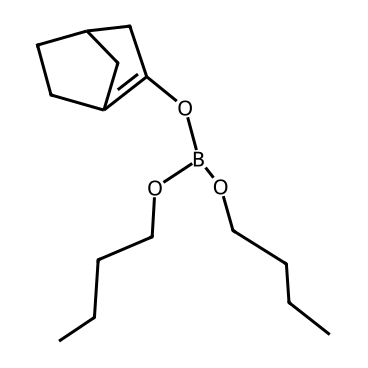 CCCCOB(OCCCC)OC1=C2CCC(C2)C1